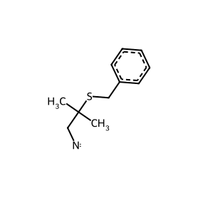 CC(C)(C[N])SCc1ccccc1